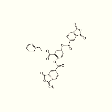 C=C1OC(=O)c2cc(C(=O)Oc3ccc(OC(=O)c4ccc5c(c4)C(=O)OC5=O)cc3C(=O)OCCc3ccccc3)ccc21